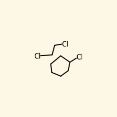 ClC1CCCCC1.ClCCCl